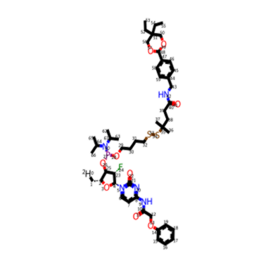 [2H]C[C@H]1O[C@@H](n2ccc(NC(=O)COc3ccccc3)nc2=O)[C@@H](F)C1OP(OCCCCSSC(C)(C)CCC(=O)NCc1ccc(C2OCC(CC)(CC)CO2)cc1)N(C(C)C)C(C)C